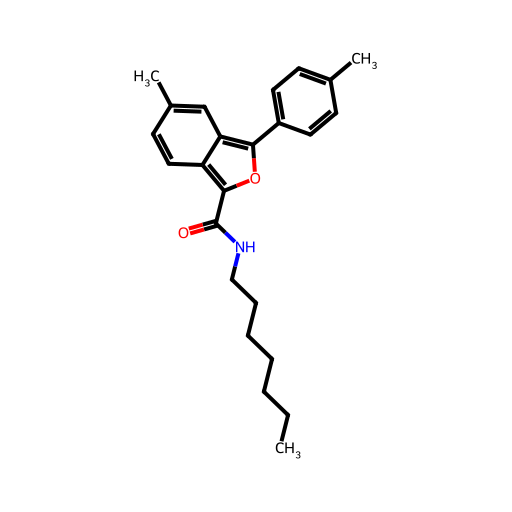 CCCCCCCNC(=O)c1oc(-c2ccc(C)cc2)c2cc(C)ccc12